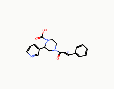 O=C(/C=C/c1ccccc1)N1CCN(C(=O)O)C(c2cccnc2)C1